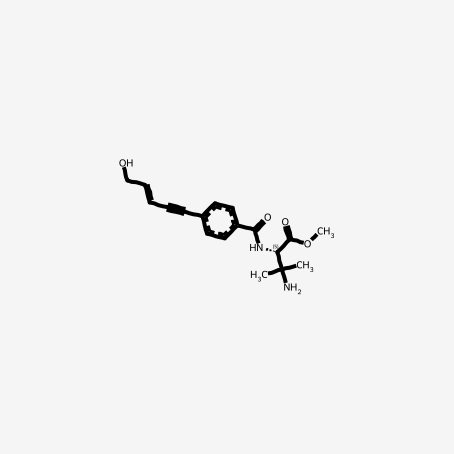 COC(=O)[C@@H](NC(=O)c1ccc(C#CC=CCO)cc1)C(C)(C)N